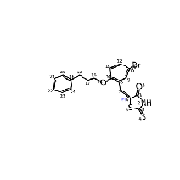 O=C1NC(=S)S/C1=C/c1cc(Br)ccc1OCCCc1ccccc1